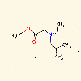 CCN(CC(=O)OC)CC(C)C